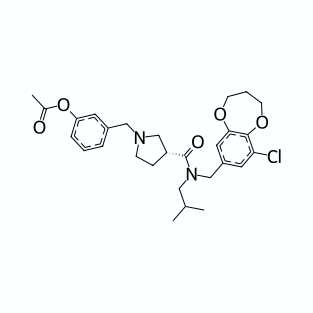 CC(=O)Oc1cccc(CN2CC[C@@H](C(=O)N(Cc3cc(Cl)c4c(c3)OCCCO4)CC(C)C)C2)c1